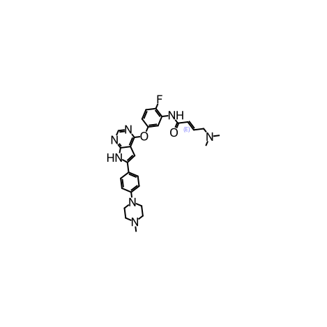 CN(C)C/C=C/C(=O)Nc1cc(Oc2ncnc3[nH]c(-c4ccc(N5CCN(C)CC5)cc4)cc23)ccc1F